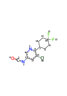 O=C=Nc1cnc(C2CCC(F)(F)CC2)c(Cl)c1